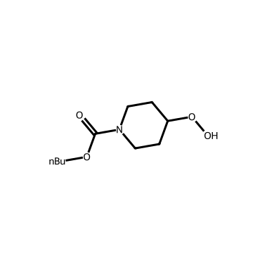 CCCCOC(=O)N1CCC(OO)CC1